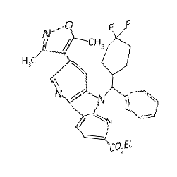 CCOC(=O)c1ccc2c3ncc(-c4c(C)noc4C)cc3n(C(c3ccccc3)C3CCC(F)(F)CC3)c2n1